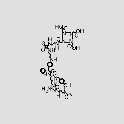 CCC(=O)NCCNC(=O)/N=C(/N)NCCC[C@@H](NC(=O)[C@H](c1ccccc1)c1ccc(NCCCNc2c(NCCNC(=O)CN3CCN(CC(=O)O)CCN(CC(=O)O)CCN(CC(=O)O)CC3)c(=O)c2=O)cc1)C(=O)NCc1ccc(O)cc1